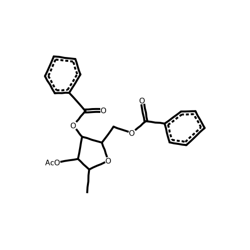 CC(=O)OC1C(C)OC(COC(=O)c2ccccc2)C1OC(=O)c1ccccc1